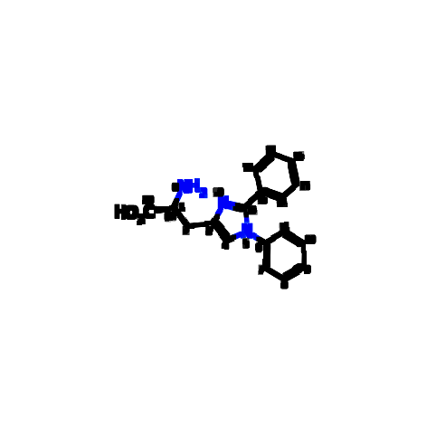 N[C@@H](Cc1cn(-c2ccccc2)c(-c2ccccc2)n1)C(=O)O